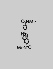 CNC(=O)c1ccc(-c2cn3c(n2)sc2cc(C(=O)NC)ccc23)cc1